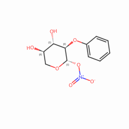 O=[N+]([O-])O[C@@H]1OC[C@@H](O)[C@H](O)[C@H]1Oc1ccccc1